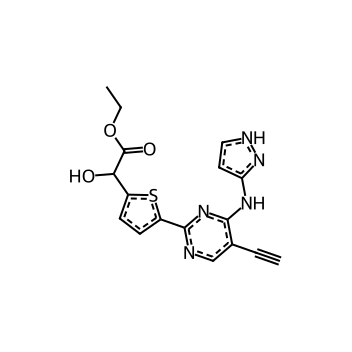 C#Cc1cnc(-c2ccc(C(O)C(=O)OCC)s2)nc1Nc1cc[nH]n1